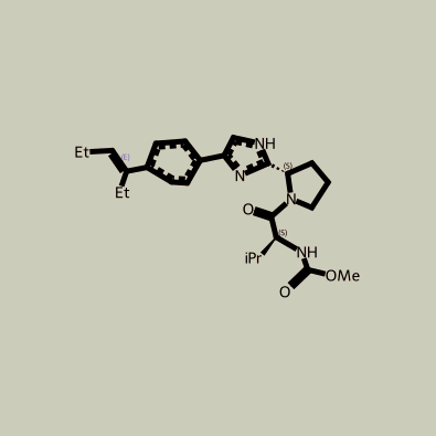 CC/C=C(\CC)c1ccc(-c2c[nH]c([C@@H]3CCCN3C(=O)[C@@H](NC(=O)OC)C(C)C)n2)cc1